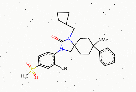 CNC1(c2ccccc2)CCC2(CC1)CN(c1ccc(S(C)(=O)=O)cc1C#N)C(=O)N2CC1CCC1